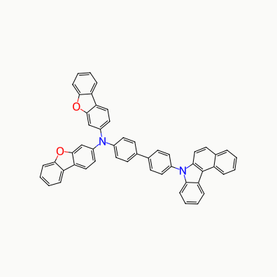 c1ccc2c(c1)ccc1c2c2ccccc2n1-c1ccc(-c2ccc(N(c3ccc4c(c3)oc3ccccc34)c3ccc4c(c3)oc3ccccc34)cc2)cc1